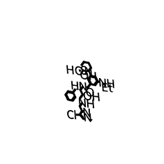 CCNc1cc(C(=O)N[C@@H](Cc2ccccc2)[C@H](O)CNCc2nn(C)cc2Cl)cc(N2CCCCS2(O)O)c1